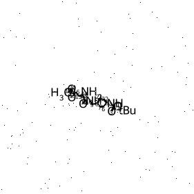 CC(C)(C)OC(=O)Nc1ccc(CNC(=O)[C@@H](N)CCS(C)(=O)=O)cc1